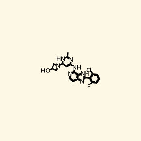 CC1=NC(Nc2nccc3nc(-c4c(F)cccc4Cl)[nH]c23)=CC(N2CC(O)C2)N1